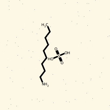 CCCCCCCCCN.O=S(=O)(O)O